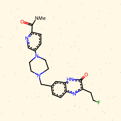 CNC(=O)c1ccc(N2CCN(Cc3ccc4nc(CCF)c(=O)[nH]c4c3)CC2)cn1